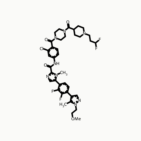 COCCn1ncc(-c2ccc(-c3cnc(C(=O)Nc4ccc(C(=O)N5CCN(C(=O)C6CCN(CCC(F)F)CC6)CC5)c(Cl)c4)n3C)c(F)c2F)c1C